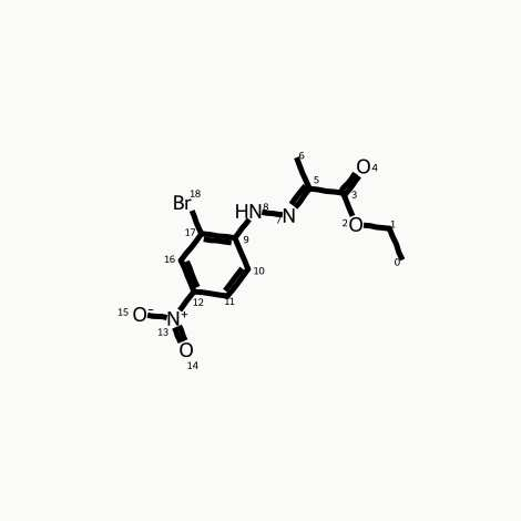 CCOC(=O)/C(C)=N/Nc1ccc([N+](=O)[O-])cc1Br